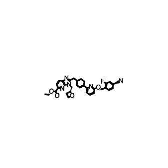 CCOC(=O)c1ccc2nc(CC3CC=C(c4cccc(OCc5ccc(C#N)cc5F)n4)CC3)n(C[C@@H]3CCO3)c2n1